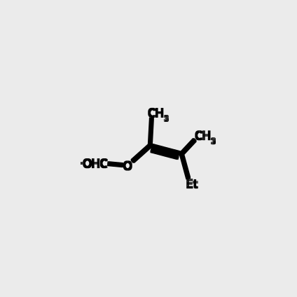 CCC(C)=C(C)O[C]=O